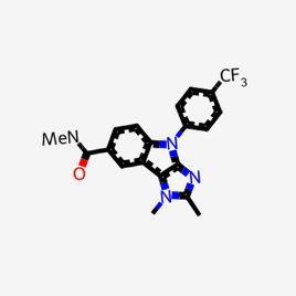 CNC(=O)c1ccc2c(c1)c1c(nc(C)n1C)n2-c1ccc(C(F)(F)F)cc1